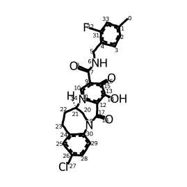 Cc1ccc(CNC(=O)c2cn3c(c(O)c2=O)C(=O)N2C[C@H]3CCc3cc(Cl)ccc32)c(F)c1